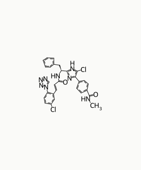 CNC(=O)c1ccc(-c2nc([C@H](Cc3ccccc3)NC(=O)C=Cc3cc(Cl)ccc3-n3cnnn3)[nH]c2Cl)cc1